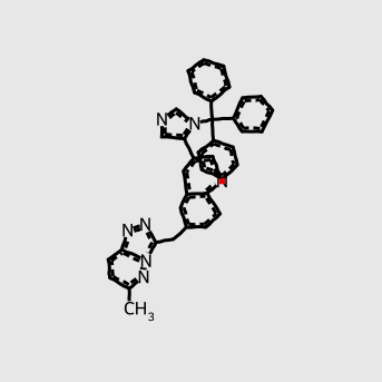 Cc1ccc2nnc(Cc3ccc4ncc(-c5cncn5C(c5ccccc5)(c5ccccc5)c5ccccc5)cc4c3)n2n1